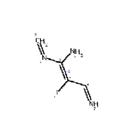 C=N/C(N)=C(\I)C=N